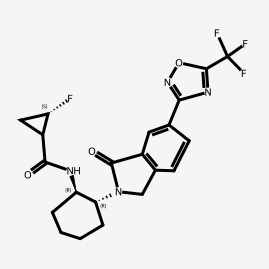 O=C(N[C@@H]1CCCC[C@H]1N1Cc2ccc(-c3noc(C(F)(F)F)n3)cc2C1=O)C1C[C@@H]1F